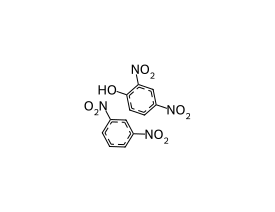 O=[N+]([O-])c1ccc(O)c([N+](=O)[O-])c1.O=[N+]([O-])c1cccc([N+](=O)[O-])c1